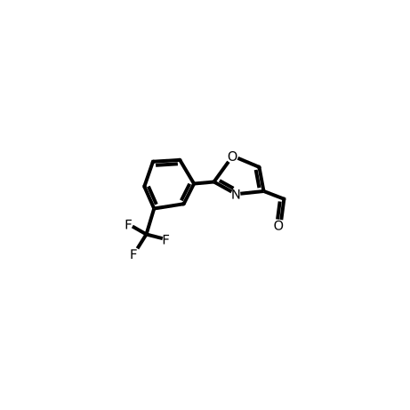 O=Cc1coc(-c2cccc(C(F)(F)F)c2)n1